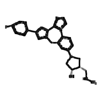 CNC[C@H]1CN(c2ccc3c(c2)Cn2cc(-c4ccc(F)cc4)cc2-c2nccn2-3)C[C@H]1O